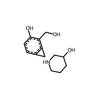 OC1CCCNC1.OCc1c(O)ccc2c1C2